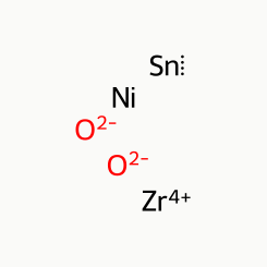 [Ni].[O-2].[O-2].[Sn].[Zr+4]